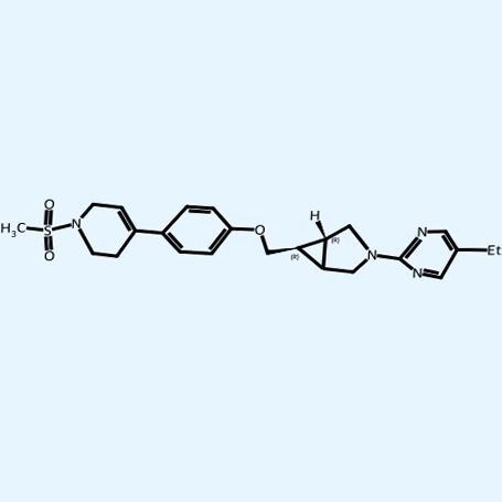 CCc1cnc(N2CC3[C@@H](COc4ccc(C5=CCN(S(C)(=O)=O)CC5)cc4)[C@@H]3C2)nc1